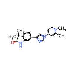 CC1=CC(n2cnc(-c3ccc4c(c3)NC(=O)C4(C)C)c2)=CCN1C